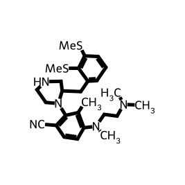 CSc1cccc(CC2CNCCN2c2c(C#N)ccc(N(C)CCN(C)C)c2C)c1SC